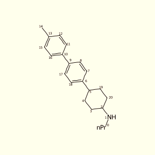 CCCNC1CCC(c2ccc(-c3ccc(C)cc3)cc2)CC1